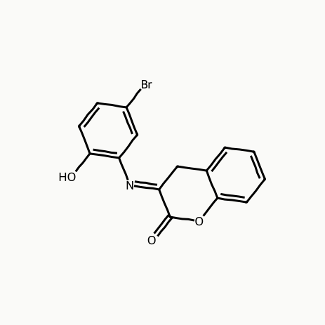 O=C1Oc2ccccc2CC1=Nc1cc(Br)ccc1O